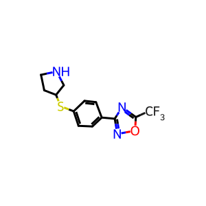 FC(F)(F)c1nc(-c2ccc(SC3CCNC3)cc2)no1